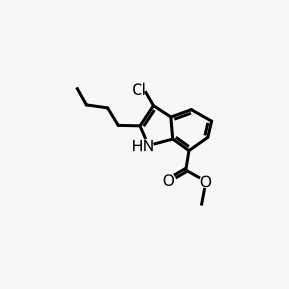 CCCCc1[nH]c2c(C(=O)OC)cccc2c1Cl